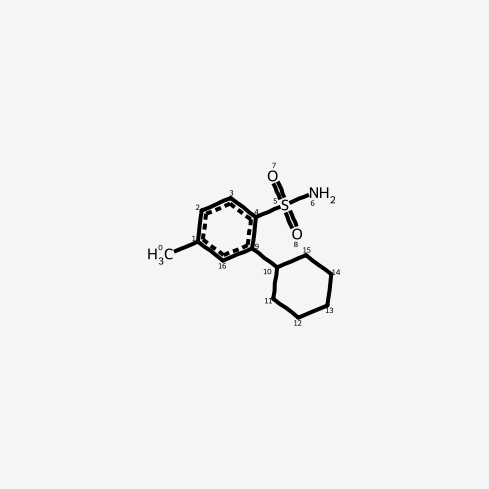 Cc1ccc(S(N)(=O)=O)c(C2CCCCC2)c1